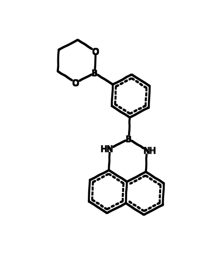 c1cc(B2Nc3cccc4cccc(c34)N2)cc(B2OCCCO2)c1